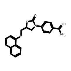 N=C(N)c1ccc(N2CC(COc3cccc4ccccc34)OC2=O)cc1